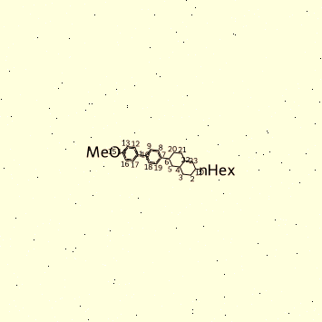 CCCCCCC1CCC2CC(c3ccc(-c4ccc(OC)cc4)cc3)CCC2C1